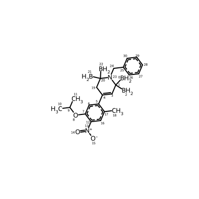 BC1(B)C=C(c2cc(OC(C)C)c([N+](=O)[O-])cc2C)CC(B)(B)N1Cc1ccccc1